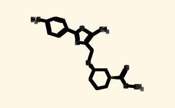 COC(=O)[C@H]1CCC[C@@H](OCc2nc(-c3ccc(C)cc3)oc2C)C1